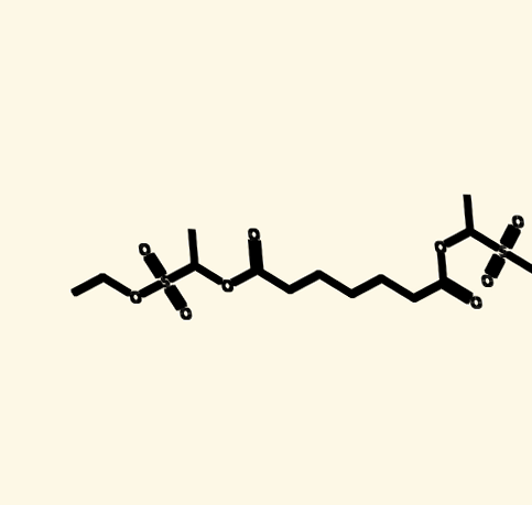 CCOS(=O)(=O)C(C)OC(=O)CCCCCC(=O)OC(C)S(C)(=O)=O